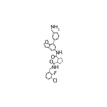 NCc1cccc(-c2cc(NC(=O)C3CCCC3C(=O)NCc3cccc(Cl)c3F)cc3ccoc23)c1